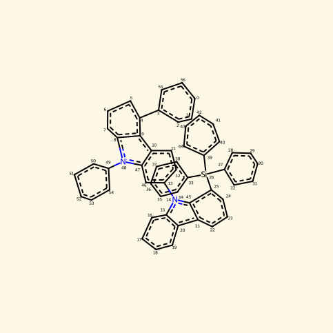 c1ccc(-c2cccc3c2c2ccc(-n4c5ccccc5c5cccc([Si](c6ccccc6)(c6ccccc6)c6ccccc6)c54)cc2n3-c2ccccc2)cc1